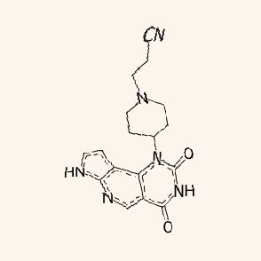 N#CCCN1CCC(n2c(=O)[nH]c(=O)c3cnc4[nH]ccc4c32)CC1